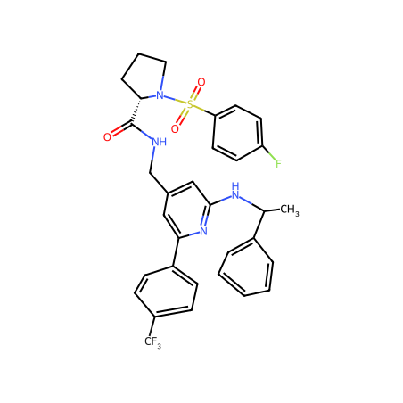 CC(Nc1cc(CNC(=O)[C@@H]2CCCN2S(=O)(=O)c2ccc(F)cc2)cc(-c2ccc(C(F)(F)F)cc2)n1)c1ccccc1